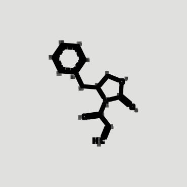 C=CC(=O)N1C(=O)OCC1Cc1ccccc1